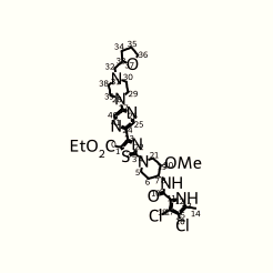 CCOC(=O)c1sc(N2CC[C@@H](NC(=O)c3[nH]c(C)c(Cl)c3Cl)[C@@H](OC)C2)nc1-c1cnc(N2CCN(CC3CCCO3)CC2)cn1